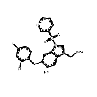 CNCc1cn(S(=O)(=O)c2cccnc2)c2cc(Cc3ccc(F)cc3Cl)ccc12.Cl